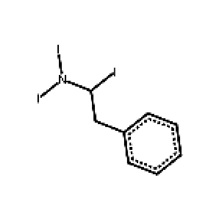 IC(Cc1ccccc1)N(I)I